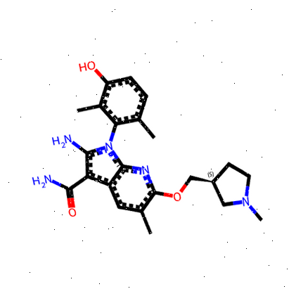 Cc1cc2c(C(N)=O)c(N)n(-c3c(C)ccc(O)c3C)c2nc1OC[C@H]1CCN(C)C1